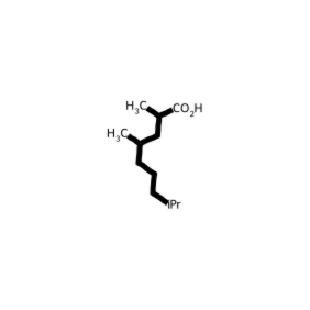 CC(C)CCCC(C)CC(C)C(=O)O